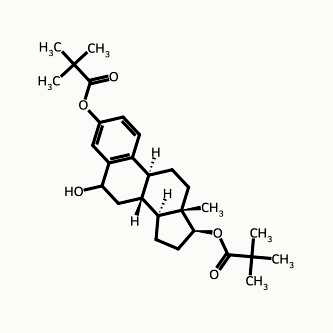 CC(C)(C)C(=O)Oc1ccc2c(c1)C(O)C[C@@H]1[C@@H]2CC[C@]2(C)[C@@H](OC(=O)C(C)(C)C)CC[C@@H]12